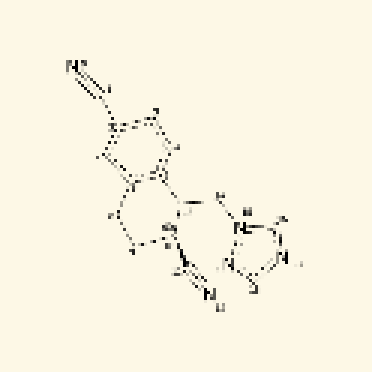 N#Cc1ccc2c(c1)CC[C@H](C#N)C2Cn1cncn1